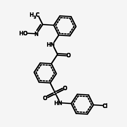 CC(=NO)c1ccccc1NC(=O)c1cccc(S(=O)(=O)Nc2ccc(Cl)cc2)c1